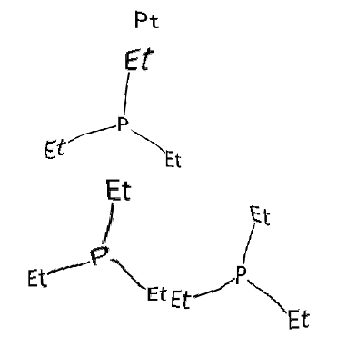 CCP(CC)CC.CCP(CC)CC.CCP(CC)CC.[Pt]